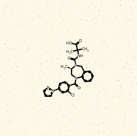 C[C@@H]1CN(C(=O)c2ccc(-n3cccn3)cc2Cl)c2ccccc2CN1C(=O)NC(C)(C)C(=O)O